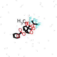 COC1C2CC3C(OC(=O)C31C(=O)OC(C(F)(F)F)C(F)(F)F)C2OC(=O)C1CC2C=CC1O2